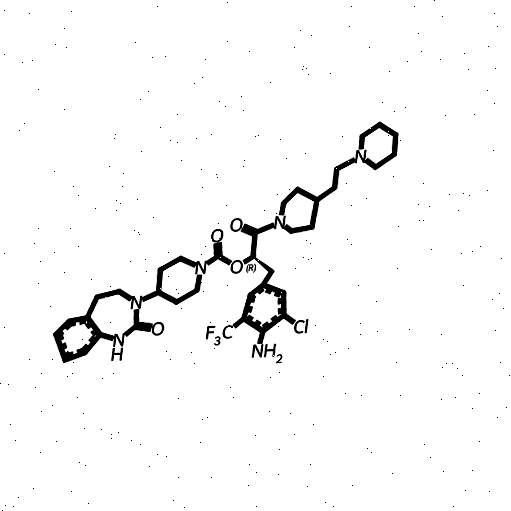 Nc1c(Cl)cc(C[C@@H](OC(=O)N2CCC(N3CCc4ccccc4NC3=O)CC2)C(=O)N2CCC(CCN3CCCCC3)CC2)cc1C(F)(F)F